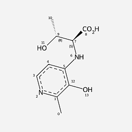 Cc1nccc(N[C@H](C(=O)O)[C@@H](C)O)c1O